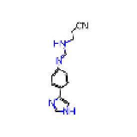 N#CCCNC=Nc1ccc(-c2c[nH]cn2)cc1